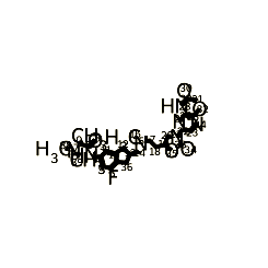 CC(C(=O)Nc1cc(F)c2c(c1)CC(CN(C)CCC1CN(c3cnc4c(n3)NC(=O)CO4)C(=O)O1)C2)N(C)C